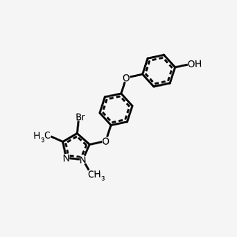 Cc1nn(C)c(Oc2ccc(Oc3ccc(O)cc3)cc2)c1Br